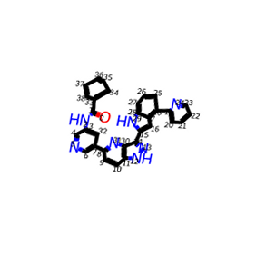 O=C(Nc1cncc(-c2ccc3[nH]nc(-c4cc5c(-c6ccccn6)cccc5[nH]4)c3n2)c1)c1ccccc1